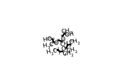 C=CCC(=C)OC(=C)CC=C.CC(O)COC(C)COC(C)CO